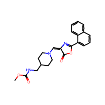 COC(=O)NCC1CCN(/C=C2/N=C(c3cccc4ccccc34)OC2=O)CC1